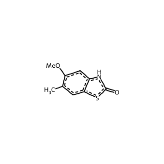 COc1cc2[nH]c(=O)sc2cc1C